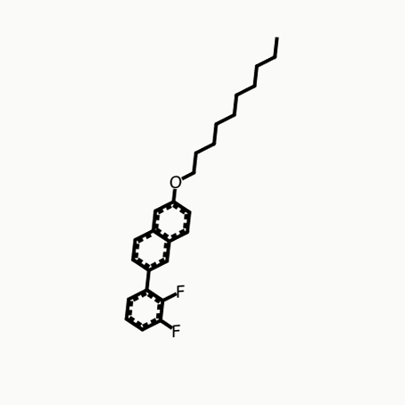 CCCCCCCCCCOc1ccc2cc(-c3cccc(F)c3F)ccc2c1